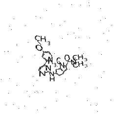 CCCOc1ccnc(-c2ccnc(Nc3ccc4cc(C(=O)N(C)C)n(C)c4c3)n2)c1